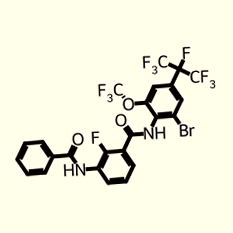 O=C(Nc1cccc(C(=O)Nc2c(Br)cc(C(F)(C(F)(F)F)C(F)(F)F)cc2OC(F)(F)F)c1F)c1ccccc1